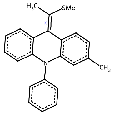 CS/C(C)=C1/c2ccccc2N(c2ccccc2)c2cc(C)ccc21